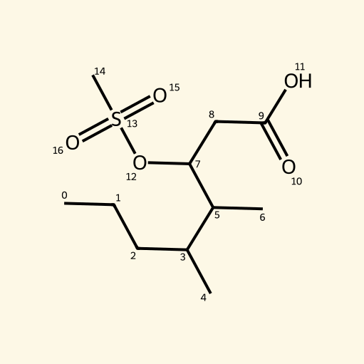 CCCC(C)C(C)C(CC(=O)O)OS(C)(=O)=O